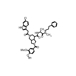 COc1cc(C(=O)N2CC3CN(C(=O)Cc4c[nH]c5cc(Cl)ccc45)CC(C(=O)N[C@@H](C)C(=O)N(C)CCCc4ccccc4)C3C2)ccc1OC(C)C